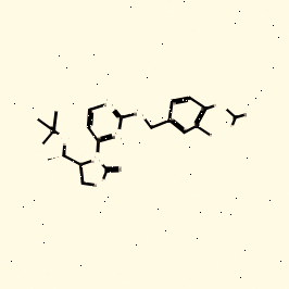 C[C@H](Nc1nccc(N2C(=O)OCC2[C@@H](C)OC(C)(C)C)n1)c1ccc(OC(F)F)c(F)c1